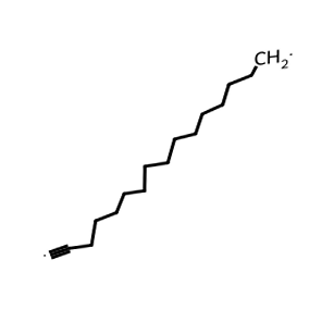 [C]#CCCCCCCCCCCCCC[CH2]